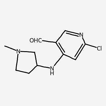 CN1CCC(Nc2cc(Cl)ncc2C=O)C1